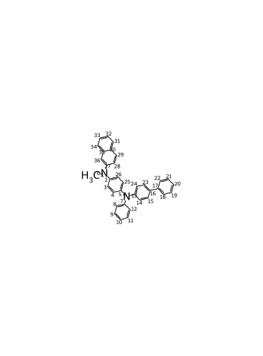 CN(c1ccc(N(c2ccccc2)c2ccc(-c3ccccc3)cc2)cc1)c1ccc2ccccc2c1